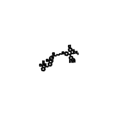 CC/C(=C(/c1ccc(OCCCCCC(=O)N2CCN(C(=O)c3cc(Cc4n[nH]c(=O)c5ccccc45)ccc3F)CC2)cc1)c1ccc2[nH]ncc2c1)c1ccc(Cl)cc1F